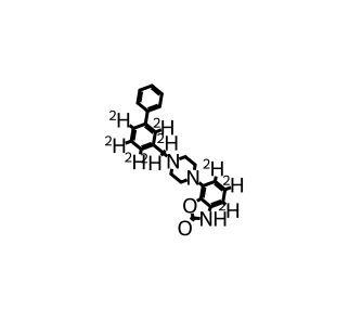 [2H]c1c([2H])c(-c2ccccc2)c([2H])c(C([2H])([2H])N2CCN(c3c([2H])c([2H])c([2H])c4[nH]c(=O)oc34)CC2)c1[2H]